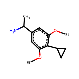 CCOc1cc(C(C)N)cc(OCC)c1C1CC1